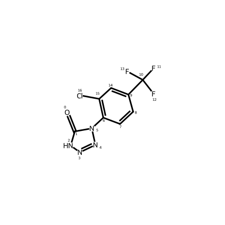 O=c1[nH]nnn1-c1ccc(C(F)(F)F)cc1Cl